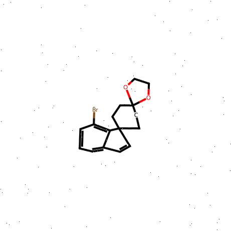 Brc1cccc2c1C1(C=C2)CCC2(CC1)OCCO2